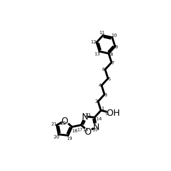 OC(CCCCCCc1ccccc1)c1noc(-c2ccco2)n1